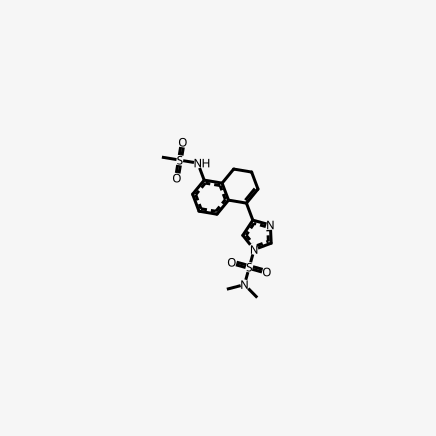 CN(C)S(=O)(=O)n1cnc(C2=CCCc3c(NS(C)(=O)=O)cccc32)c1